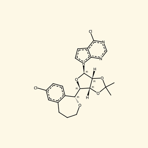 CC1(C)O[C@H]2[C@@H](O1)[C@H](n1ccc3c(Cl)ncnc31)O[C@@H]2[C@@H]1OCCCc2cc(Cl)ccc21